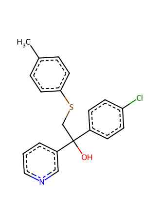 Cc1ccc(SCC(O)(c2ccc(Cl)cc2)c2cccnc2)cc1